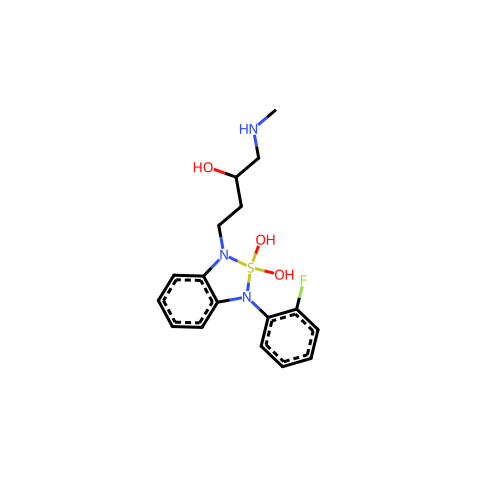 CNCC(O)CCN1c2ccccc2N(c2ccccc2F)S1(O)O